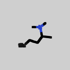 CC(CCC(C)(C)C)N(C)C